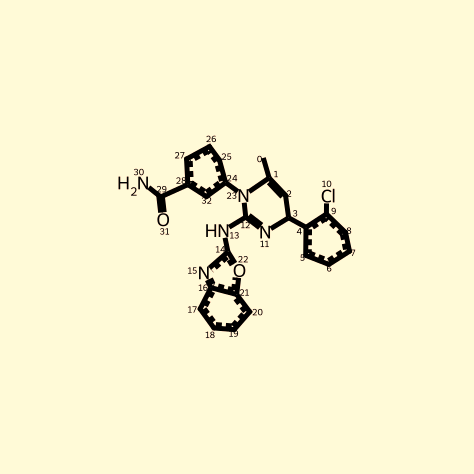 CC1=CC(c2ccccc2Cl)N=C(Nc2nc3ccccc3o2)N1c1cccc(C(N)=O)c1